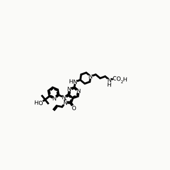 C=CCn1c(=O)c2cnc(NC3CCN(CCCNC(=O)O)CC3)nc2n1-c1cccc(C(C)(C)O)n1